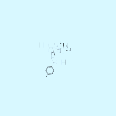 CC(CB1OC(C)(C)C(C)(C)O1)c1ccc(I)cc1